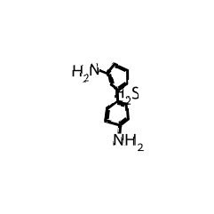 Nc1ccc(-c2cccc(N)c2)cc1.S